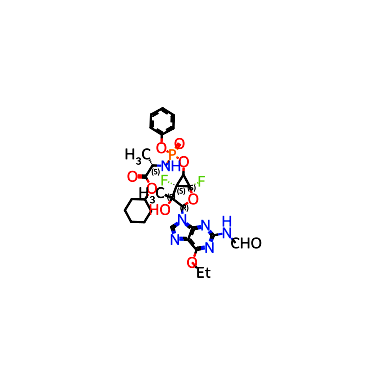 CCOc1nc(NC=O)nc2c1ncn2[C@@H]1O[C@]2(F)C(OP(=O)(N[C@@H](C)C(=O)OC3CCCCC3)Oc3ccccc3)[C@]2(F)[C@@]1(C)O